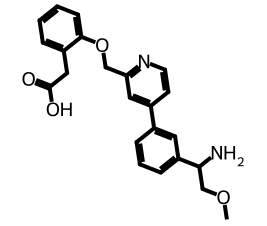 COCC(N)c1cccc(-c2ccnc(COc3ccccc3CC(=O)O)c2)c1